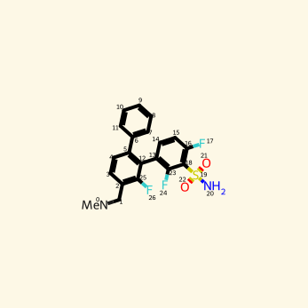 CNCc1ccc(-c2ccccc2)c(-c2ccc(F)c(S(N)(=O)=O)c2F)c1F